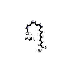 CC/C=C\C/C=C\C/C=C\CCCCCCCC(=O)O.[MgH2]